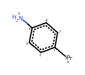 [CH2]C(C)c1ccc(N)cc1